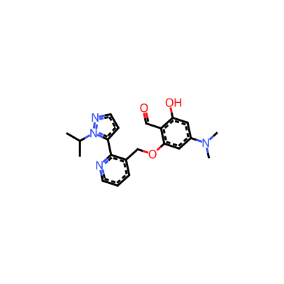 CC(C)n1nccc1-c1ncccc1COc1cc(N(C)C)cc(O)c1C=O